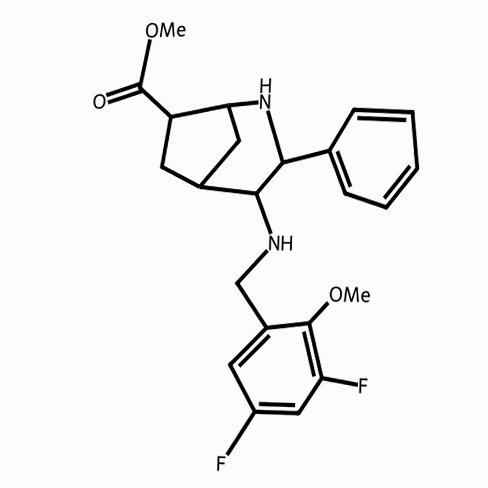 COC(=O)C1CC2CC1NC(c1ccccc1)C2NCc1cc(F)cc(F)c1OC